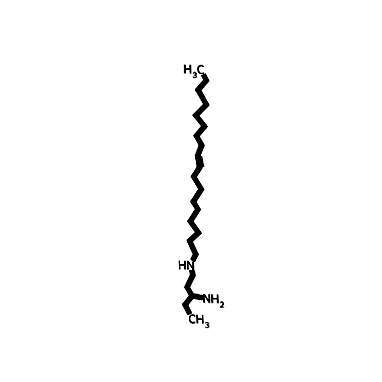 CCCCCCCCC=CCCCCCCCCNCCC(N)CC